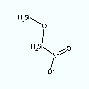 O=[N+]([O-])[SiH2]O[SiH3]